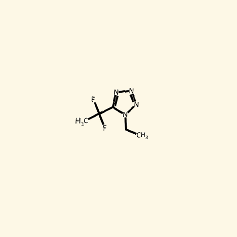 CCn1nnnc1C(C)(F)F